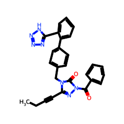 CCC#Cc1nn(C(=O)c2ccccc2)c(=O)n1Cc1ccc(-c2ccccc2-c2nnn[nH]2)cc1